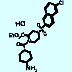 CCOC(=O)C1CN(S(=O)(=O)c2ccc3cc(Cl)ccc3c2)CCN1C(=O)[C@H]1CC[C@H](N)CC1.Cl